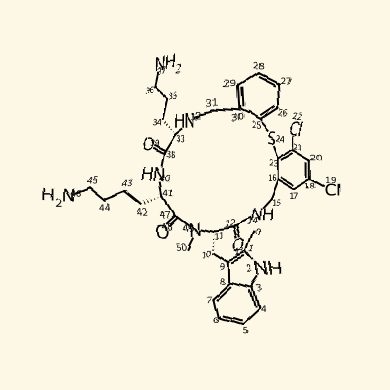 Cc1[nH]c2ccccc2c1C[C@H]1C(=O)NCc2cc(Cl)cc(Cl)c2Sc2ccccc2CN[C@@H](CCCN)C(=O)N[C@@H](CCCCN)C(=O)N1C